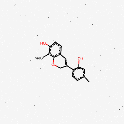 COc1c(O)ccc2c1OCC(c1ccc(C)cc1O)=C2